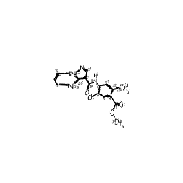 COC(=O)c1cc(Cl)c(NC(=O)c2cnn3cccnc23)cc1C